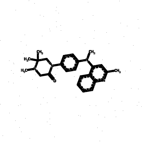 Cc1cc(N(C)c2ccc(N3CC(C)(C)N(C)CC3=O)cc2)c2ccccc2n1